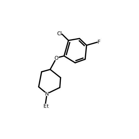 CCN1CCC(Oc2ccc(F)cc2Cl)CC1